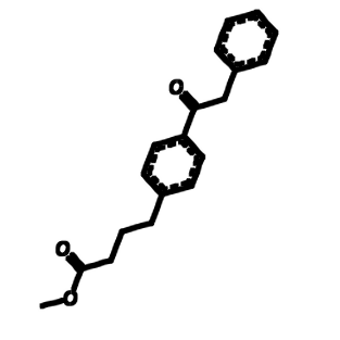 COC(=O)CCCc1ccc(C(=O)Cc2ccccc2)cc1